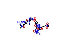 CCCN(CCC)C(=O)C1=Cc2ccc(C(=O)Nc3cnc4c(c3)CN(C(=O)OCc3ccc(NC(=O)C(CCCNC(N)=O)NC(=O)C(NC(=O)CCCCCN5C(=O)CC(C)C5=O)C(C)C)cc3)CC4)cc2N=C(N)C1